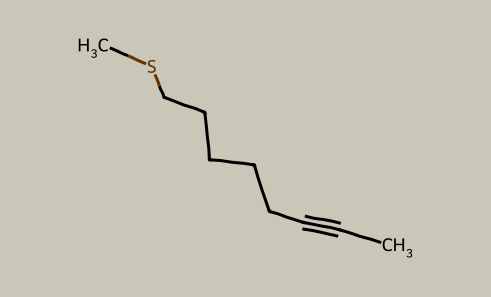 CC#CCCCCCSC